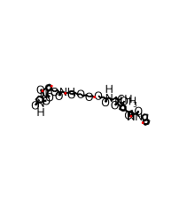 CN(CCNC(=O)CCOCCOCCOCCOCCNC(=O)COc1cccc2c1C(=O)N(C1CCC(=O)NC1=O)C2=O)C(=O)c1ccc(-c2cc(C(=O)N[C@@H]3CCc4ccccc43)no2)cc1O